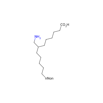 CCCCCCCCCCCCCCC(CN)CCCCCC(=O)O